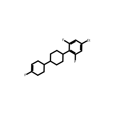 CCc1cc(F)c(C2CCC(C3CC=C(F)CC3)CC2)c(F)c1